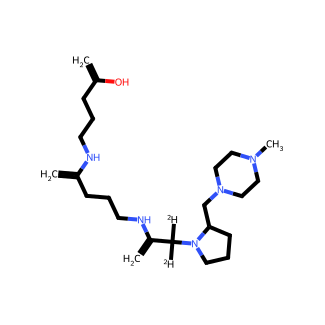 [2H]C([2H])(C(=C)NCCCC(=C)NCCCC(=C)O)N1CCCC1CN1CCN(C)CC1